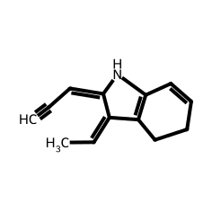 C#C/C=c1/[nH]c2c(/c1=C/C)CCC=C2